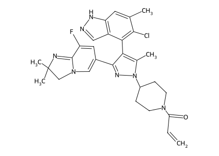 C=CC(=O)N1CCC(n2nc(C3=CN4CC(C)(C)N=C4C(F)=C3)c(-c3c(Cl)c(C)cc4[nH]ncc34)c2C)CC1